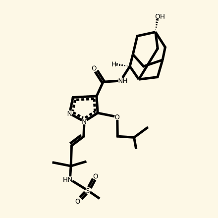 CC(C)COc1c(C(=O)N[C@H]2C3CC4CC2C[C@](O)(C4)C3)cnn1/C=C/C(C)(C)NS(C)(=O)=O